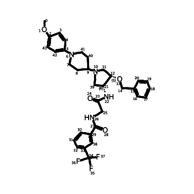 COc1ccc(N2CCC(N3C[C@H](OCc4ccccc4)[C@H](NC(=O)CNC(=O)c4cccc(C(F)(F)F)c4)C3)CC2)cc1